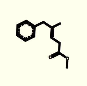 COC(=O)CC=C(C)Cc1ccccc1